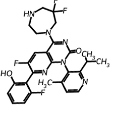 Cc1ccnc(C(C)C)c1-n1c(=O)nc(N2CCNCC(F)(F)C2)c2cc(F)c(-c3c(O)cccc3F)nc21